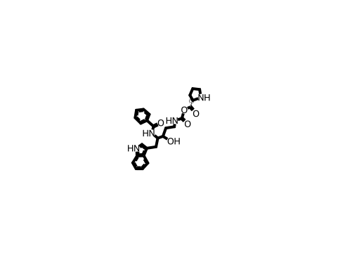 O=C(NCCC(O)C(Cc1c[nH]c2ccccc12)NC(=O)c1ccccc1)OC(=O)[C@@H]1CCCN1